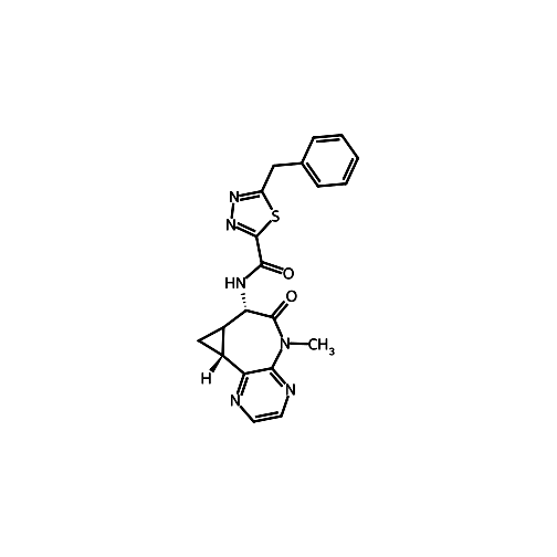 CN1C(=O)[C@@H](NC(=O)c2nnc(Cc3ccccc3)s2)C2C[C@H]2c2nccnc21